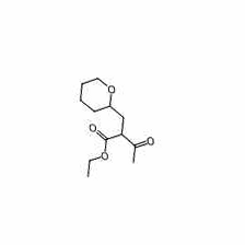 CCOC(=O)C(CC1CCCCO1)C(C)=O